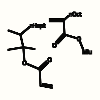 C=C(CCCCCCCC)C(=O)OCCCC.C=CC(=O)OC(C)(C)C(C)CCCCCCC